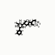 C/C=C\C1=C(C)O/C(=C/C(=C\C)C2NC(I)NC(c3ccccc3)N2)C1